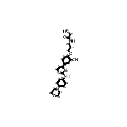 N#Cc1cc(-c2ccnc(Nc3ccc(N4CCOCC4)cc3)n2)ccc1OCCCNC(=O)CO